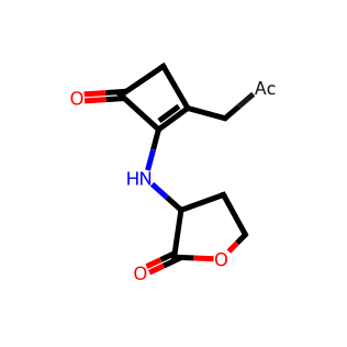 CC(=O)CC1=C(NC2CCOC2=O)C(=O)C1